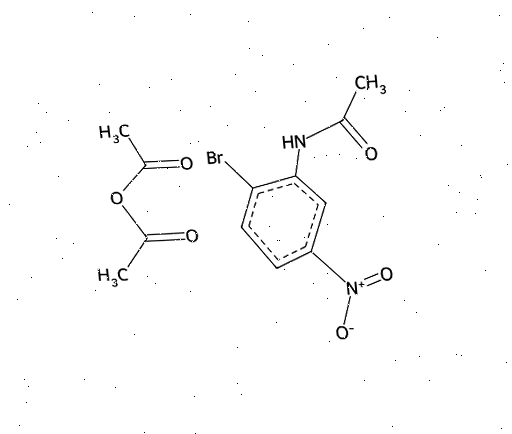 CC(=O)Nc1cc([N+](=O)[O-])ccc1Br.CC(=O)OC(C)=O